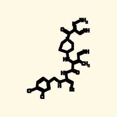 CC/C=C(\NCc1ccc(Cl)c(Cl)c1)NC(=O)/C(NC1CCN(C(=O)/C(C=N)=N/N)CC1)=C(\C)C=N